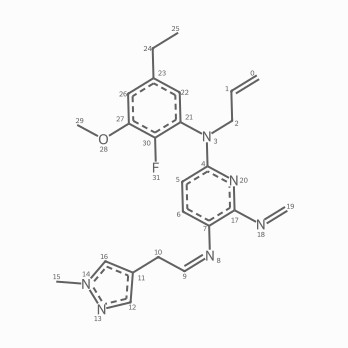 C=CCN(c1ccc(/N=C\Cc2cnn(C)c2)c(N=C)n1)c1cc(CC)cc(OC)c1F